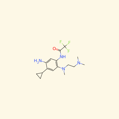 CN(C)CCN(C)c1cc(C2CC2)c(N)cc1NC(=O)C(F)(F)F